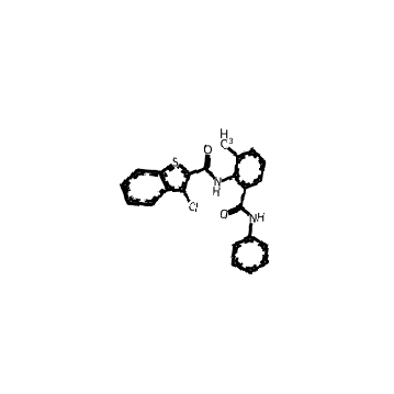 Cc1cccc(C(=O)Nc2ccccc2)c1NC(=O)c1sc2ccccc2c1Cl